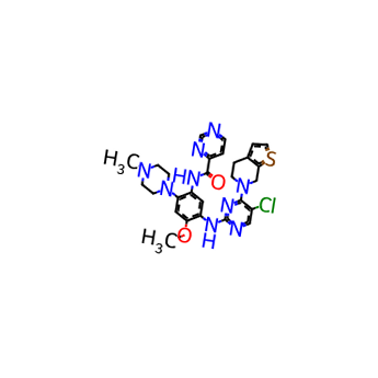 COc1cc(N2CCN(C)CC2)c(NC(=O)c2ccncn2)cc1Nc1ncc(Cl)c(N2CCc3ccsc3C2)n1